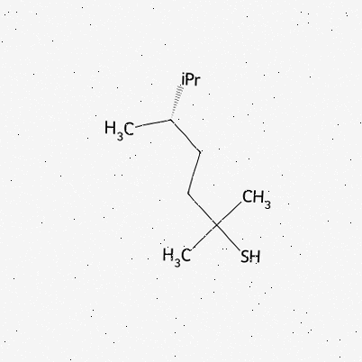 CC(C)[C@@H](C)CCC(C)(C)S